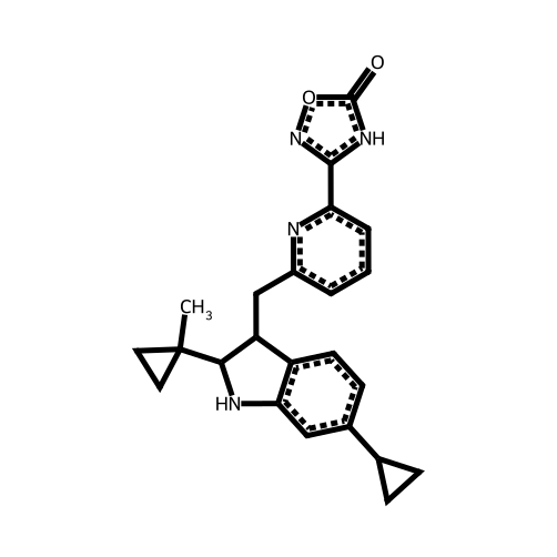 CC1(C2Nc3cc(C4CC4)ccc3C2Cc2cccc(-c3noc(=O)[nH]3)n2)CC1